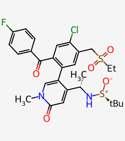 CCS(=O)(=O)Cc1cc(-c2cn(C)c(=O)cc2[C@H](C)N[S@@+]([O-])C(C)(C)C)c(C(=O)c2ccc(F)cc2)cc1Cl